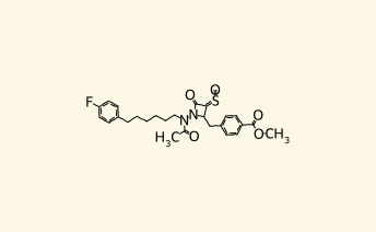 COC(=O)c1ccc(CC2C(=S=O)C(=O)N2N(CCCCCCc2ccc(F)cc2)C(C)=O)cc1